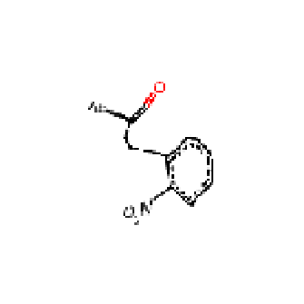 CC(=O)C(=O)Cc1ccccc1[N+](=O)[O-]